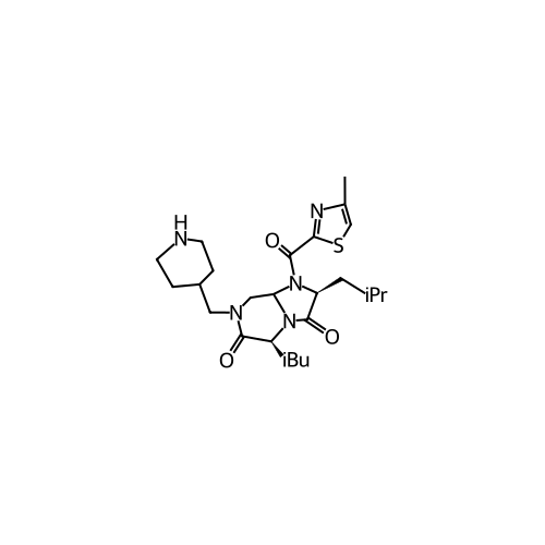 CCC(C)[C@H]1C(=O)N(CC2CCNCC2)CC2N1C(=O)[C@H](CC(C)C)N2C(=O)c1nc(C)cs1